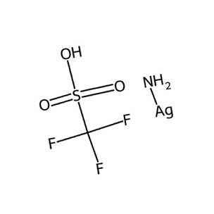 O=S(=O)(O)C(F)(F)F.[NH2][Ag]